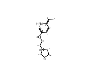 C=C(/C=C\C(N)=C/C)OCCN1CCCC1